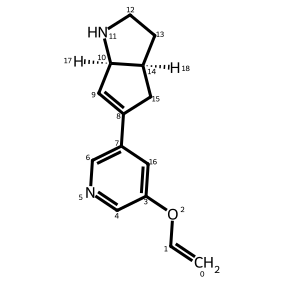 C=COc1cncc(C2=C[C@H]3NCC[C@H]3C2)c1